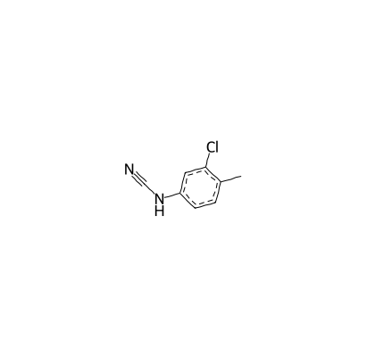 Cc1ccc(NC#N)cc1Cl